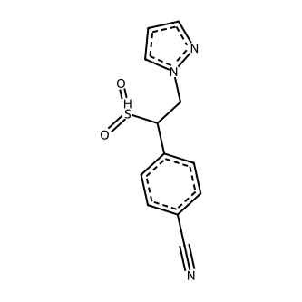 N#Cc1ccc(C(Cn2cccn2)[SH](=O)=O)cc1